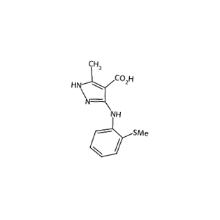 CSc1ccccc1Nc1n[nH]c(C)c1C(=O)O